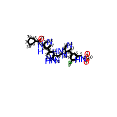 CS(=O)(=O)NCc1cc(F)cc(-c2cncc3[nH]c(-c4n[nH]c5ncc(-c6cncc(NC(=O)C7CCCCC7)c6)cc45)nc23)c1